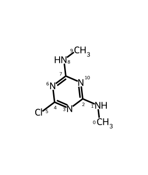 CNc1nc(Cl)nc(NC)n1